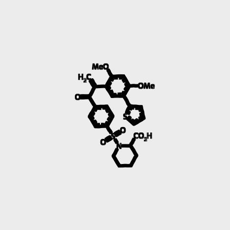 C=C(C(=O)c1ccc(S(=O)(=O)N2CCCCC2C(=O)O)cc1)c1cc(-c2cccs2)c(OC)cc1OC